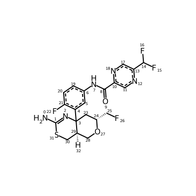 NC1=NC2(c3cc(NC(=O)c4cnc(C(F)F)cn4)ccc3F)C[C@H](CF)OC[C@H]2CS1